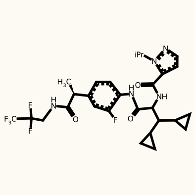 CC(C)n1nccc1C(=O)NC(C(=O)Nc1ccc([C@H](C)C(=O)NCC(F)(F)C(F)(F)F)cc1F)C(C1CC1)C1CC1